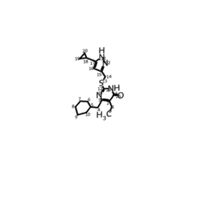 CCc1c(CC2CCCCC2)nc(SCc2cc(C3CC3)[nH]n2)[nH]c1=O